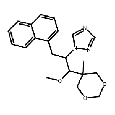 COC(C(Cc1cccc2ccccc12)n1cncn1)C1(C)COCOC1